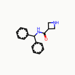 O=C(NC(c1ccccc1)c1ccccc1)C1CNC1